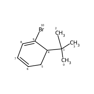 CC(C)(C)C1CC=CC=C1Br